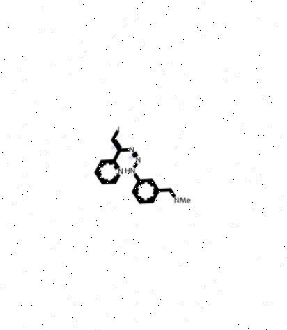 CNCc1cccc(N/N=N\C(=C/I)c2ccccn2)c1